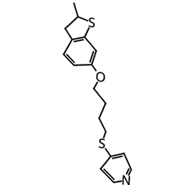 CC1Cc2ccc(OCCCCSc3ccncc3)cc2S1